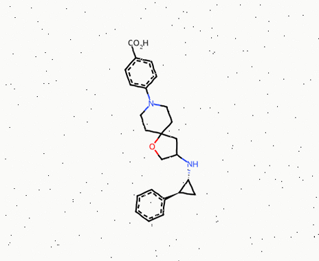 O=C(O)c1ccc(N2CCC3(CC2)CC(N[C@@H]2C[C@H]2c2ccccc2)CO3)cc1